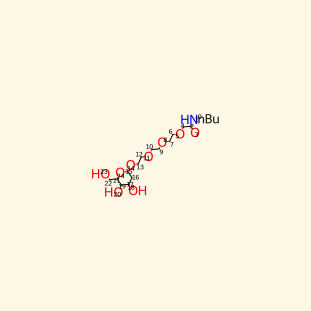 CCCCNC(=O)COCCOCCOCCOC1C[C@@H](O)[C@@H](O)[C@@H](CO)O1